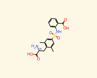 Cc1cc(S(=O)(=O)Nc2ccccc2C(=O)O)cc(C)c1C[C@H](N)C(=O)O